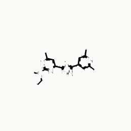 CCN(C)c1nc(C)cc(-c2nc(-c3cc(C)nc(C)c3)no2)n1